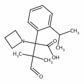 CC(C)c1ccccc1C(C(=O)O)(N1CCC1)C(C)(C)C=O